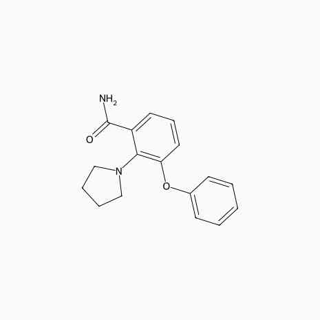 NC(=O)c1cccc(Oc2ccccc2)c1N1CCCC1